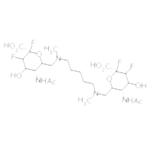 CC(=O)N[C@@H]1C(CN(C)CCCCCN(C)CC2O[C@@](F)(C(=O)O)C(F)C(O)[C@H]2NC(C)=O)O[C@](F)(C(=O)O)C(F)C1O